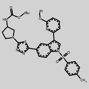 Cc1ccc(S(=O)(=O)n2cc(-c3cccc(OC(C)C)n3)c3cc(-c4nnc(N5CCC(NC(=O)OC(C)(C)C)C5)s4)ccc32)cc1